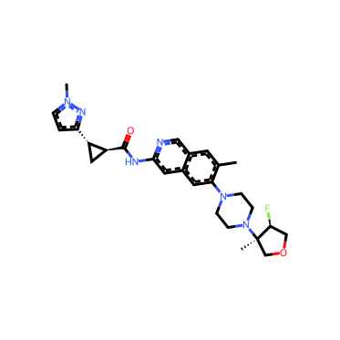 Cc1cc2cnc(NC(=O)[C@H]3C[C@@H]3c3ccn(C)n3)cc2cc1N1CCN([C@]2(C)COC[C@@H]2F)CC1